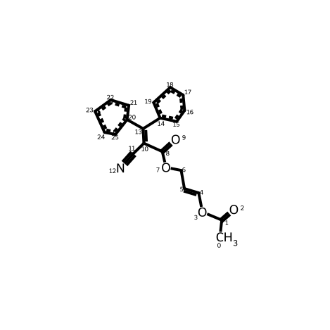 CC(=O)OC=CCOC(=O)C(C#N)=C(c1ccccc1)c1ccccc1